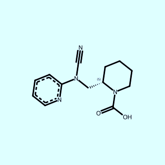 N#CN(C[C@@H]1CCCCN1C(=O)O)c1ccccn1